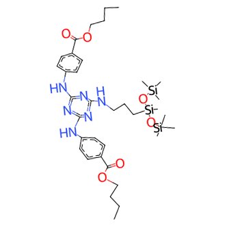 CCCCOC(=O)c1ccc(Nc2nc(NCCC[Si](C)(O[Si](C)(C)C)O[Si](C)(C)C)nc(Nc3ccc(C(=O)OCCCC)cc3)n2)cc1